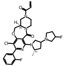 C=CC(=O)N1CCN2C(=O)c3c(N4CC(N5CCC(F)C5)C[C@@H]4C)nc(-c4ccccc4F)c(Cl)c3OC[C@H]2C1